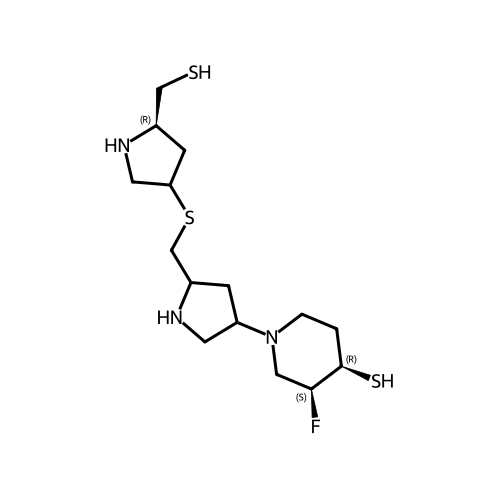 F[C@H]1CN(C2CNC(CSC3CN[C@@H](CS)C3)C2)CC[C@H]1S